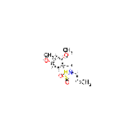 CC=CN(Cc1ccc(OC)cc1OC)[SH](=O)=O